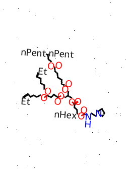 CC/C=C\CCCCOC(CCC(=O)OCC(COC(=O)CCCCCC(=O)OCCC(CCCCC)CCCCC)COC(=O)CCC(CCCCCC)OC(=O)NCCN1CCCC1)OCCCC/C=C\CC